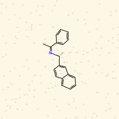 CC(=N[C@H](C)c1ccc2ccccc2c1)c1ccccc1